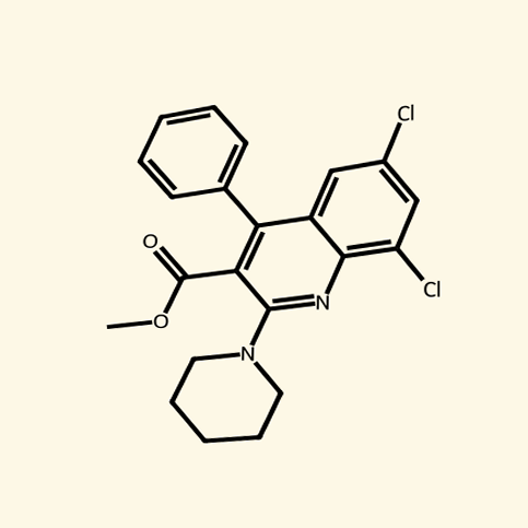 COC(=O)c1c(N2CCCCC2)nc2c(Cl)cc(Cl)cc2c1-c1ccccc1